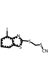 N#CSCSc1nc2c(I)cccc2s1